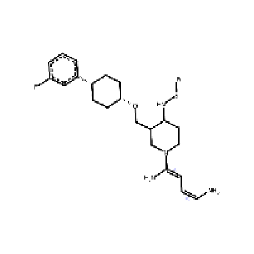 CC(C)SNC1CCN(/C(N)=C/C=C\N)CC1CO[C@H]1CC[C@@H](c2cccc(F)c2)CC1